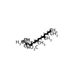 CC(C)=CCC/C(C)=C/CC/C(C)=C/CSCC(NC(=O)N(C)C)C(=O)O